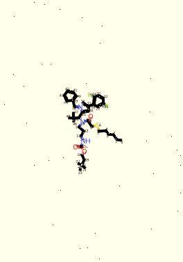 CCCCCCSCC(=O)N(CCCNC(=O)OCC[Si](C)(C)C)[C@@H](c1cc(-c2cc(F)ccc2F)cn1Cc1ccccc1)C(C)(C)C